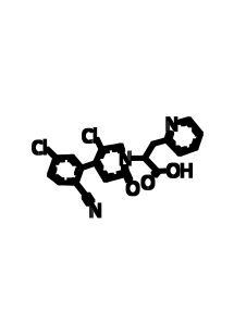 N#Cc1ccc(Cl)cc1-c1cc(=O)n(C(Cc2ccccn2)C(=O)O)cc1Cl